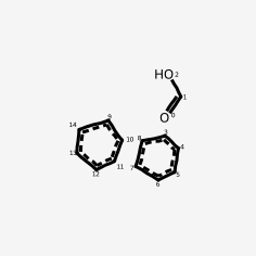 O=CO.c1ccccc1.c1ccccc1